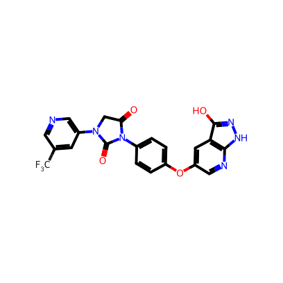 O=C1CN(c2cncc(C(F)(F)F)c2)C(=O)N1c1ccc(Oc2cnc3[nH]nc(O)c3c2)cc1